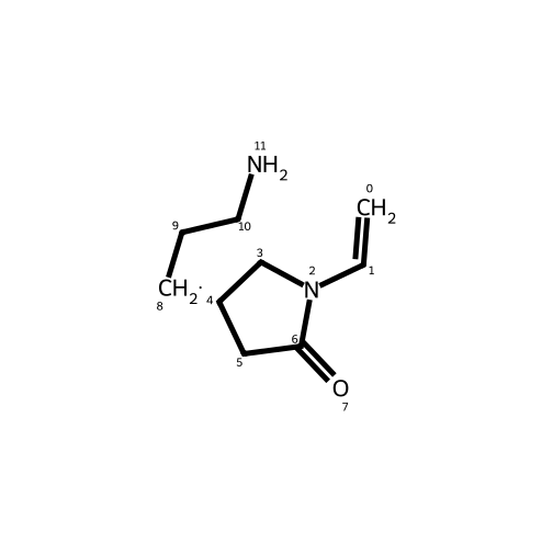 C=CN1CCCC1=O.[CH2]CCN